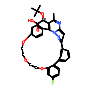 Cc1nc2cc3nn2c(c1[C@H](OC(C)(C)C)C(=O)O)-c1ccc(cc1)OCCOCCOc1cc(F)ccc1-c1cccc-3c1